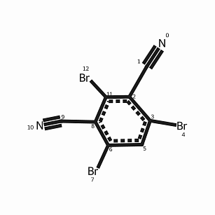 N#Cc1c(Br)cc(Br)c(C#N)c1Br